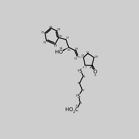 O=C(O)CSCCCS[C@H]1C(=O)CC[C@H]1C=C[C@@H](O)Cc1ccccc1